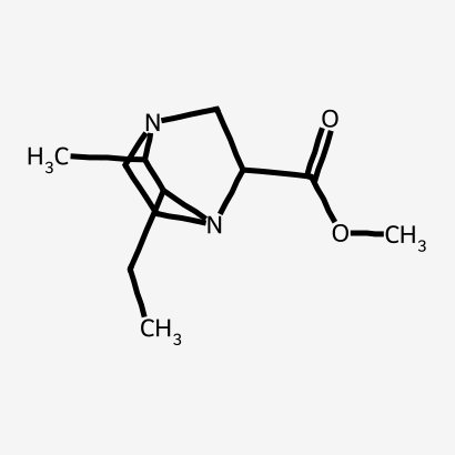 CCC1C(C)N2CCN1C(C(=O)OC)C2